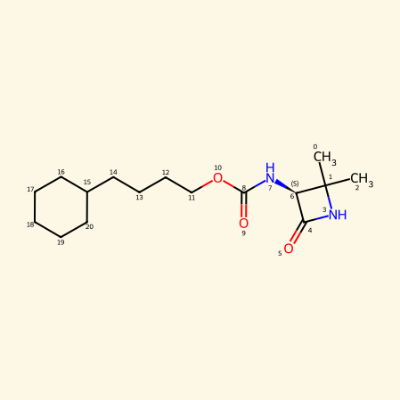 CC1(C)NC(=O)[C@H]1NC(=O)OCCCCC1CCCCC1